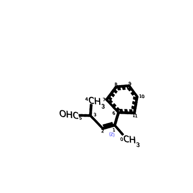 C/C(=C/C(C)C=O)c1ccccc1